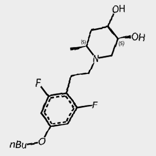 CCCCOc1cc(F)c(CCN2C[C@H](O)C(O)C[C@@H]2C)c(F)c1